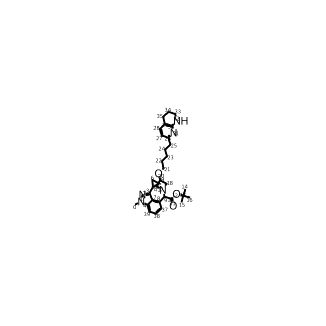 Cn1nc(C2CC2)c2c(C(C(=O)OC(C)(C)C)N3CC(OCCCCCc4ccc5c(n4)NCCC5)C3)cccc21